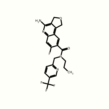 CCCN(Cc1ccc(C(F)(F)F)cn1)C(=O)c1cc2c3c(c(N)nc2cc1F)COC3